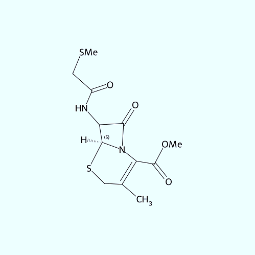 COC(=O)C1=C(C)CS[C@H]2C(NC(=O)CSC)C(=O)N12